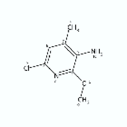 COc1nc(Cl)cc(C)c1N